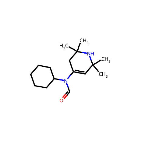 CC1(C)C=C(N(C=O)C2CCCCC2)CC(C)(C)N1